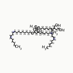 CCCCC/C=C\C/C=C\CCCCCCCCOC(CCCCCCC/C=C\C/C=C\CCCCC)O[Si](C)(C)OCCCCCCN(C)C(CO)CCO